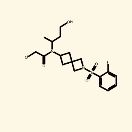 CC(CCO)N(C(=O)CCl)C1CC2(C1)CN(S(=O)(=O)c1ccccc1F)C2